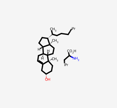 CC(C)CC(N)C(=O)O.CC(C)CCCC(C)[C@H]1CC[C@H]2[C@@H]3CC=C4C[C@@H](O)CC[C@]4(C)[C@H]3CC[C@]12C